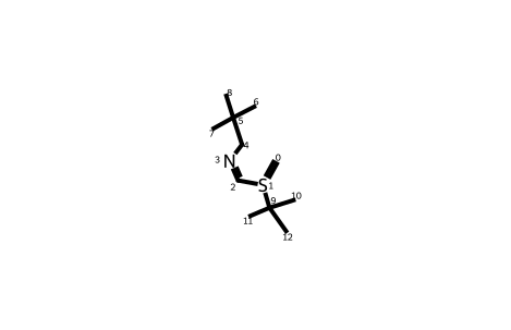 C=S(/C=N\CC(C)(C)C)C(C)(C)C